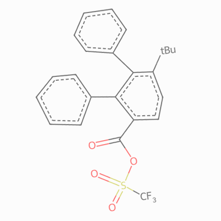 CC(C)(C)c1ccc(C(=O)OS(=O)(=O)C(F)(F)F)c(-c2ccccc2)c1-c1ccccc1